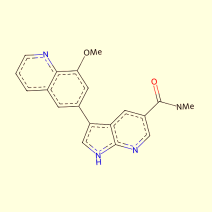 CNC(=O)c1cnc2[nH]cc(-c3cc(OC)c4ncccc4c3)c2c1